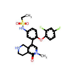 CCS(=O)(=O)Nc1ccc(Oc2ccc(F)cc2F)c(-c2cn(C)c(=O)c3c2CNCC3)c1